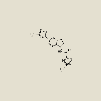 Cc1cc(-c2ccc3c(c2)CC[C@H]3NC(=O)c2nnn(C)n2)no1